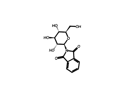 O=C1c2ccccc2C(=O)N1[C@@H]1O[C@H](CO)[C@@H](O)[C@H](O)[C@H]1O